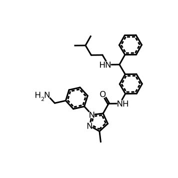 Cc1cc(C(=O)Nc2cccc(C(NCCC(C)C)c3ccccc3)c2)n(-c2cccc(CN)c2)n1